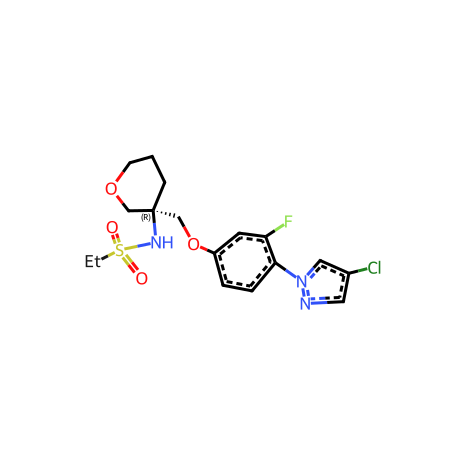 CCS(=O)(=O)N[C@]1(COc2ccc(-n3cc(Cl)cn3)c(F)c2)CCCOC1